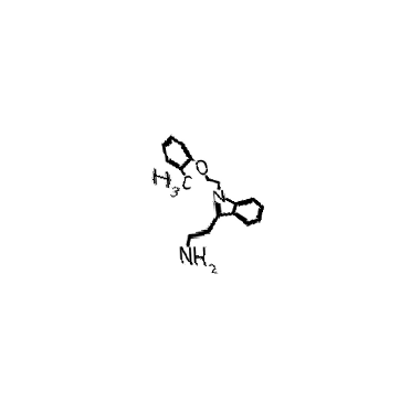 Cc1ccccc1OCCn1cc(CCN)c2ccccc21